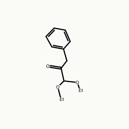 CCOC(OCC)C(=O)Cc1ccccc1